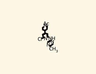 CC(=O)N1CCC(c2cc(Cl)nc(Nc3cnc(C)cn3)c2)CC1